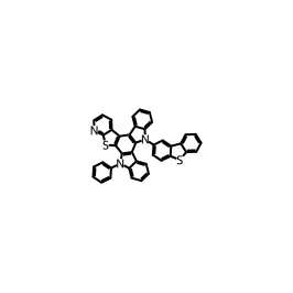 c1ccc(-n2c3ccccc3c3c2c2sc4ncccc4c2c2c4ccccc4n(-c4ccc5sc6ccccc6c5c4)c23)cc1